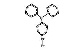 CCBr.c1ccc(N(c2ccccc2)c2ccccc2)cc1